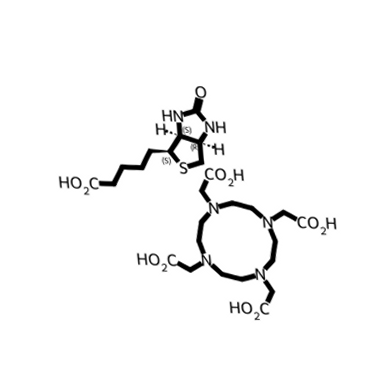 O=C(O)CCCC[C@@H]1SC[C@@H]2NC(=O)N[C@@H]21.O=C(O)CN1CCN(CC(=O)O)CCN(CC(=O)O)CCN(CC(=O)O)CC1